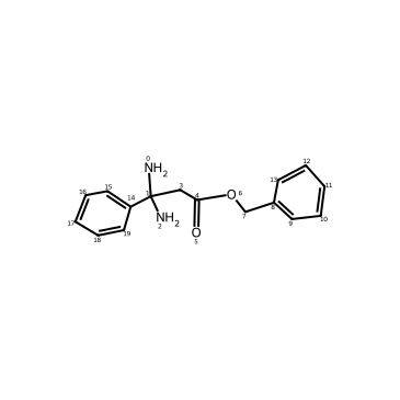 NC(N)(CC(=O)OCc1ccccc1)c1ccccc1